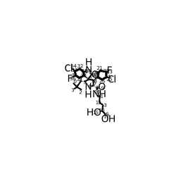 CC(C)(C)C[C@H]1N[C@@H](C(=O)NCCC[C@H](O)CO)[C@H](c2ccc(F)c(Cl)c2)[C@@]12C(=O)Nc1cc(Cl)c(F)cc12